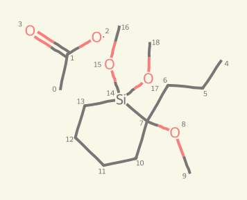 CC([O])=O.CCCC1(OC)CCCC[Si]1(OC)OC